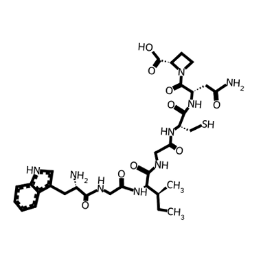 CC[C@H](C)[C@H](NC(=O)CNC(=O)[C@@H](N)Cc1c[nH]c2ccccc12)C(=O)NCC(=O)N[C@@H](CS)C(=O)N[C@@H](CC(N)=O)C(=O)N1CC[C@H]1C(=O)O